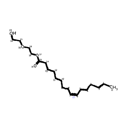 CCCCCC/C=C\CCCCCCCC(=O)OCCOCCO